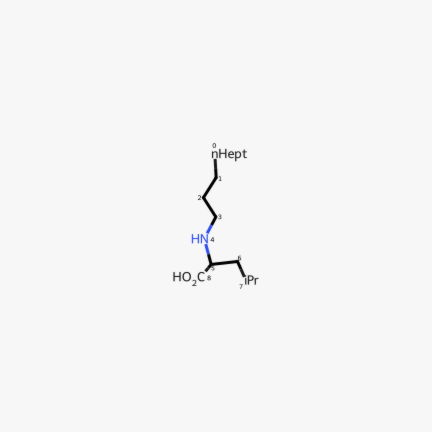 CCCCCCCCCCNC(CC(C)C)C(=O)O